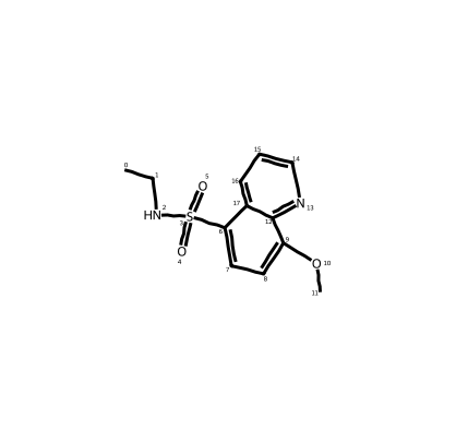 CCNS(=O)(=O)c1ccc(OC)c2ncccc12